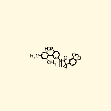 Cc1cc(C)c(-c2cc(NC(=O)C3(c4ccc5c(c4)OCO5)CC3)ccc2C)c(C)c1